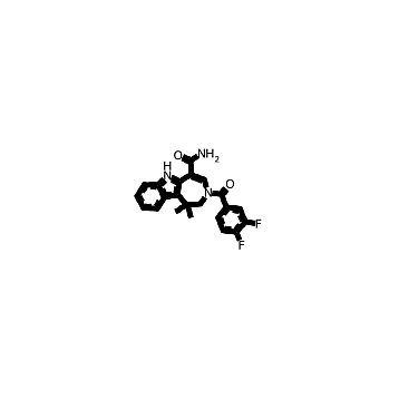 CC1(C)CN(C(=O)c2ccc(F)c(F)c2)C=C(C(N)=O)c2[nH]c3ccccc3c21